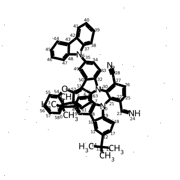 CC(C)(C)c1ccc2c(c1)c1cc(C(C)(C)C)ccc1n2-c1c(C=N)ccc(C#N)c1-n1c2ccc(-n3c4ccccc4c4ccccc43)cc2c2c3oc4ccccc4c3ccc21